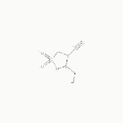 C#CC1CS(=O)(=O)OC1CC